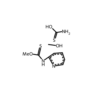 CO.COC(=S)Nc1ccccn1.NC(O)=S